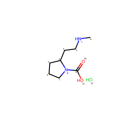 CNCCC1CCCN1C(=O)O.Cl